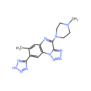 Cc1cc2nc(N3CCN(C)CC3)c3nnnn3c2cc1-c1nn[nH]n1